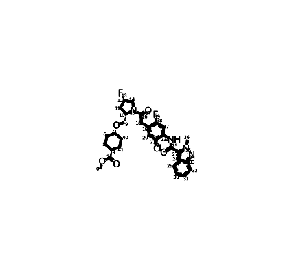 COC(=O)[C@H]1CC[C@H](OC[C@@H]2C[C@H](F)CN2C(=O)Cc2cc(Cl)c(NC(=O)c3c4ccccc4nn3C)cc2F)CC1